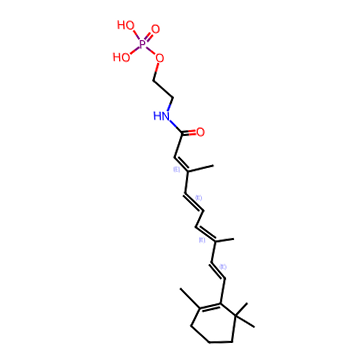 CC1=C(/C=C/C(C)=C/C=C/C(C)=C/C(=O)NCCOP(=O)(O)O)C(C)(C)CCC1